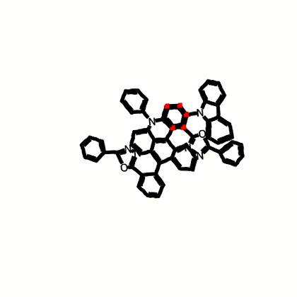 c1ccc(-c2nnc(-c3ccccc3-c3c4ccccc4c(-c4ccccc4-c4nnc(-c5ccccc5)o4)c4c(N(c5ccccc5)c5ccc(-n6c7ccccc7c7ccccc76)cc5)cccc34)o2)cc1